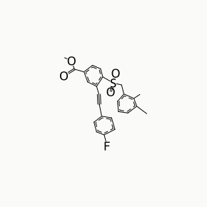 COC(=O)c1ccc(S(=O)(=O)Cc2cccc(C)c2C)c(C#Cc2ccc(F)cc2)c1